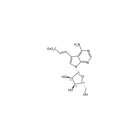 CCOC(=O)C=Cc1cn([C@@H]2O[C@H](CO)[C@@H](O)[C@H]2O)c2ncnc(N)c12